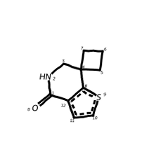 O=C1NCC2(CCC2)c2sccc21